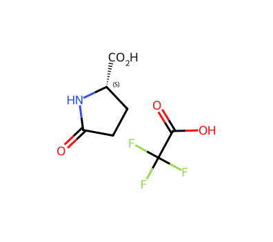 O=C(O)C(F)(F)F.O=C1CC[C@@H](C(=O)O)N1